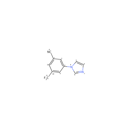 N#Cc1cc(-n2ccnc2)cc(C(F)(F)F)c1